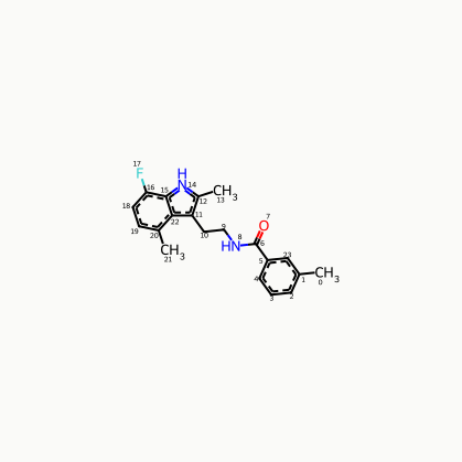 Cc1cccc(C(=O)NCCc2c(C)[nH]c3c(F)ccc(C)c23)c1